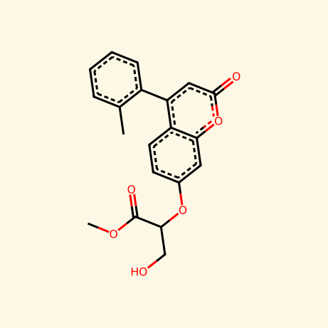 COC(=O)C(CO)Oc1ccc2c(-c3ccccc3C)cc(=O)oc2c1